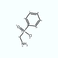 NCP(=O)(Cl)c1ccccc1